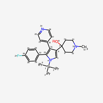 CC(C)[Si](C(C)C)(C(C)C)n1cc(C2(O)CCN(C)CC2)c(-c2ccncc2)c1-c1ccc(F)cc1